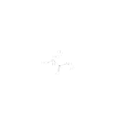 Cl.NC(=O)NO.[Cl-].[H+]